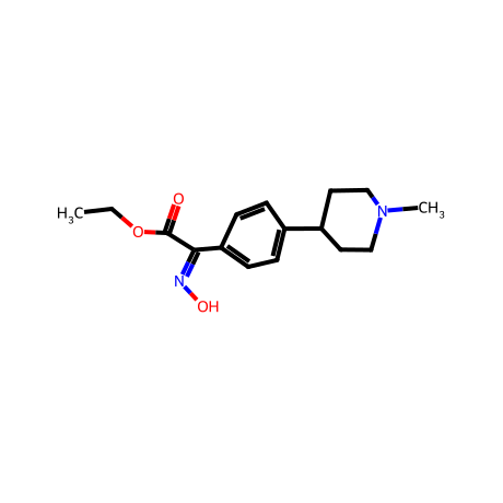 CCOC(=O)/C(=N/O)c1ccc(C2CCN(C)CC2)cc1